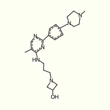 Cc1cnc(-c2ccc(N3CCN(C)CC3)cc2)nc1NCCCN1CC(O)C1